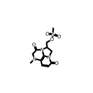 CN1CC(=O)N2c3c1ccc(=O)n3CC2COS(C)(=O)=O